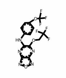 FC(F)(F)COc1nc2nonc2nc1Nc1ccc(OC(F)(F)F)cc1